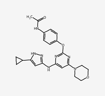 CC(=O)Nc1ccc(Oc2nc(Nc3cc(C4CC4)[nH]n3)cc(N3CCOCC3)n2)cc1